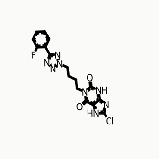 O=c1[nH]c2nc(Cl)[nH]c2c(=O)n1CCCCn1nnc(-c2ccccc2F)n1